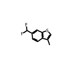 Cc1csc2cc(C(F)F)ccc12